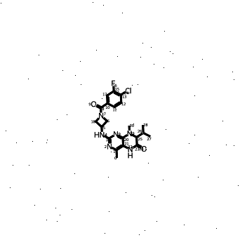 Cc1nc(NC2CN(C(=O)c3ccc(Cl)c(F)c3)C2)nc2c1NC(=O)C(C(C)C)N2C